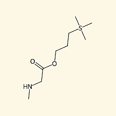 CNCC(=O)OCCCS(C)(C)C